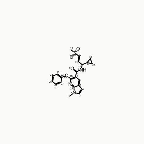 Cn1ccc2cc(C(=O)NC(/C=C/S(C)(=O)=O)C3CC3)c(Oc3ccccc3)nc21